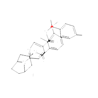 COc1cccc(C(=O)N[C@H]2C[C@H]3CC[C@@H](C2)N3c2ccc(C(=O)NC(C)c3ccc(Cl)cc3)cn2)c1C